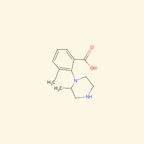 Cc1cccc(C(=O)O)c1N1CCNCC1C